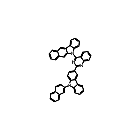 c1ccc2cc(-n3c4ccccc4c4cc(-c5nc(-n6c7ccccc7c7cc8ccccc8cc76)c6ccccc6n5)ccc43)ccc2c1